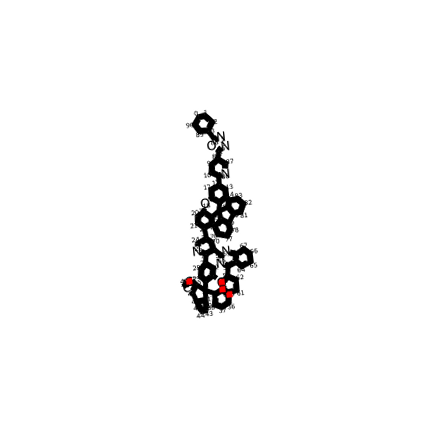 c1ccc(-c2nnc(-c3ccc(-c4ccc5c(c4)Oc4ccc(-c6cnc(-c7ccc8c(c7)Oc7ccccc7C87c8ccccc8-c8ccccc87)c(-c7nc(-c8ccccc8)c8ccccc8n7)c6)cc4C54c5ccccc5-c5ccccc54)nc3)o2)cc1